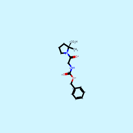 C[C@@]1(C(=O)O)CCCN1C(=O)CNC(=O)OCc1ccccc1